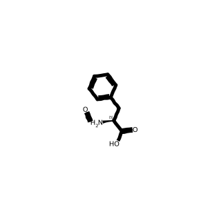 C=O.N[C@@H](Cc1ccccc1)C(=O)O